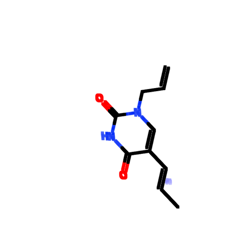 C=CCn1cc(/C=C/C)c(=O)[nH]c1=O